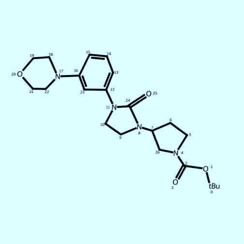 CC(C)(C)OC(=O)N1CCC(N2CCN(c3cccc(N4CCOCC4)c3)C2=O)C1